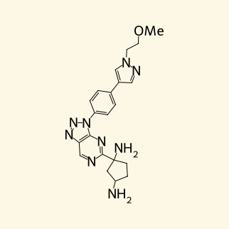 COCCn1cc(-c2ccc(-n3nnc4cnc(C5(N)CCC(N)C5)nc43)cc2)cn1